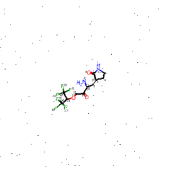 N[C@@H](C[C@@H]1CCNC1=O)C(=O)COC(C(F)(F)F)C(F)(F)F